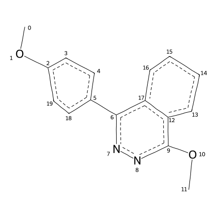 COc1ccc(-c2nnc(OC)c3ccccc23)cc1